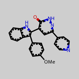 COc1ccc(-c2c(-c3cc(-c4ccncc4)n[nH]c3=O)[nH]c3ccccc23)cc1